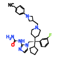 N#Cc1ccc(N2CC(CN3CCC([C@@](Cn4ccnc4NC(N)=O)(c4cccc(F)c4)C4CCCC4)CC3)C2)cc1